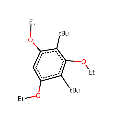 CCOc1cc(OCC)c(C(C)(C)C)c(OCC)c1C(C)(C)C